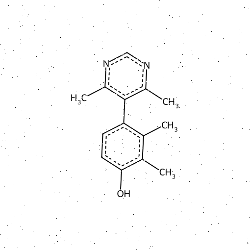 Cc1ncnc(C)c1-c1ccc(O)c(C)c1C